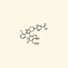 CCc1cccc(CC)c1-n1nc2c(c1-c1cc(F)c(CO)c3[nH]ccc13)CN(c1ncc(C(=O)OC)cn1)CC2